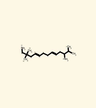 CC(C)C(N)CC=CCCC=CCC(C)(C)CN